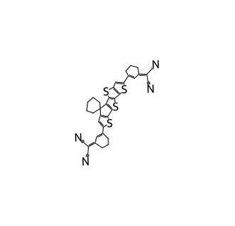 N#CC(C#N)=C1C=C(c2cc3c(s2)-c2sc4c(sc5cc(C6=CC(=C(C#N)C#N)CCC6)sc54)c2C32CCCCC2)CCC1